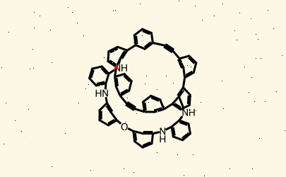 c1c2cccc(c2)c2cccc3c2Nc2ccccc2Nc2cccc(c2)Oc2cccc(c2)Nc2ccccc2Nc2c(cccc2c2cccc(c#cc4cccc3c4)c2)c2cccc(c#1)c2